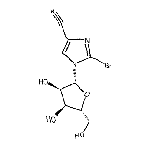 N#Cc1cn([C@@H]2O[C@H](CO)[C@@H](O)[C@H]2O)c(Br)n1